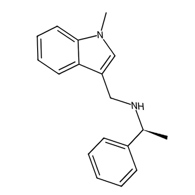 C[C@H](NCc1cn(C)c2ccccc12)c1ccccc1